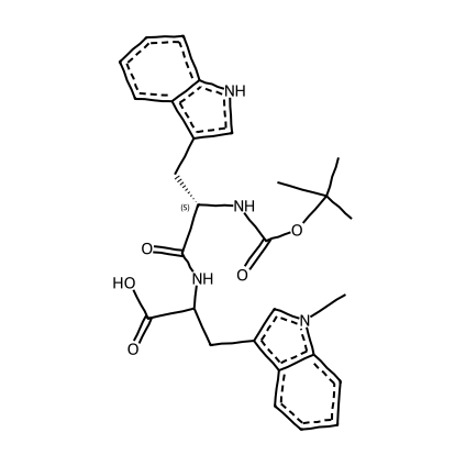 Cn1cc(CC(NC(=O)[C@H](Cc2c[nH]c3ccccc23)NC(=O)OC(C)(C)C)C(=O)O)c2ccccc21